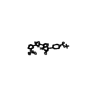 CC(C)(C)OC(=O)N1CCC(c2cc(=O)[nH]c3c(-c4nc(-c5cccc([N+](=O)[O-])c5)no4)cnn23)CC1